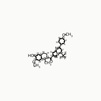 COc1ccc(-c2cc(C(F)(F)F)n3nc(C(=O)N4CCc5cc(O)c(OC)cc5C4C)cc3n2)cc1